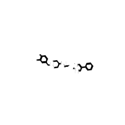 O=C(CSc1ncc(-c2ccccc2)cn1)NC1CCN(Cc2ccc(Cl)c(Cl)c2)CC1